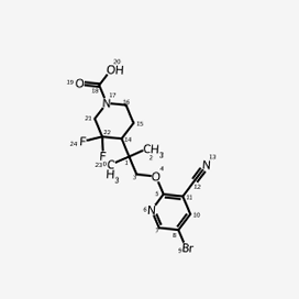 CC(C)(COc1ncc(Br)cc1C#N)C1CCN(C(=O)O)CC1(F)F